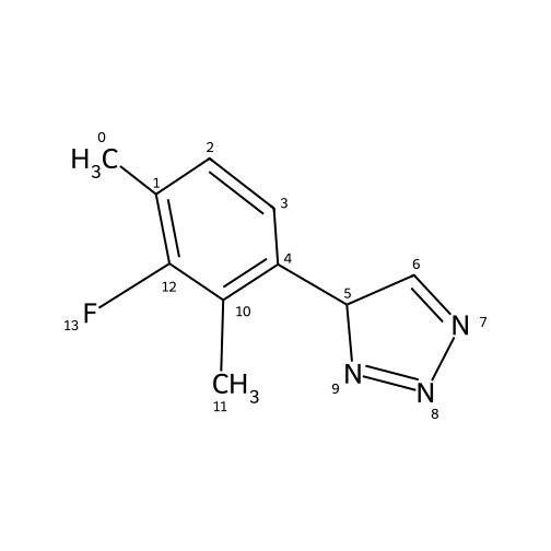 Cc1ccc(C2C=NN=N2)c(C)c1F